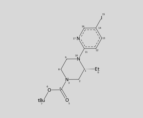 CC[C@@H]1CN(C(=O)OC(C)(C)C)CCN1c1ccc(I)cn1